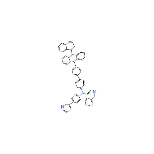 c1cncc(-c2ccc(N(c3ccc(-c4ccc(-c5c6ccccc6c(-c6cccc7ccccc67)c6ccccc56)cc4)cc3)c3cncc4ccccc34)cc2)c1